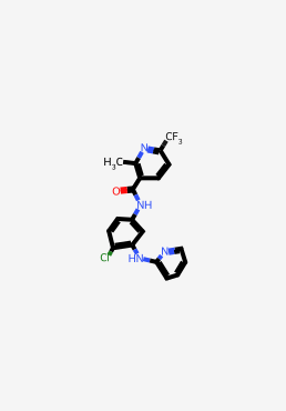 Cc1nc(C(F)(F)F)ccc1C(=O)Nc1ccc(Cl)c(Nc2ccccn2)c1